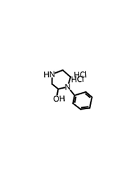 Cl.Cl.OC1CNCCN1c1ccccc1